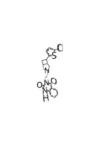 O=c1[nH]c2ccccc2c(=O)n1CCN1CC2CC(c3ccc(Cl)s3)C2C1